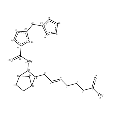 O=C(O)CCCC=CCC1C2CCC(C2)C1NC(=O)c1ccc(Cc2cccs2)s1